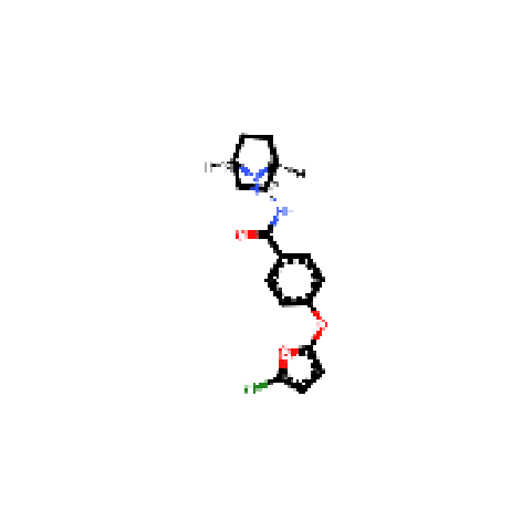 O=C(N[C@@H]1C[C@H]2CC[C@@H]1N2)c1ccc(Oc2ccc(Cl)o2)cc1